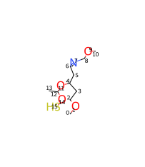 COCCC(C/C=N\COC)OC(C)OS